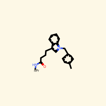 CCCNC(=O)CCCc1cn(Cc2ccc(C)cc2)c2ccccc12